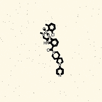 Cc1cccc(Cl)c1S(=O)(=O)N(C)Cc1nc2cccc(C(=O)N3CCC4(CC3)CCN(c3ccncc3)C4)c2[nH]1